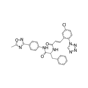 Cc1nc(-c2ccc(NC(=O)C(Cc3ccccc3)NC(=O)/C=C/c3cc(Cl)ccc3-n3cnnn3)cc2)no1